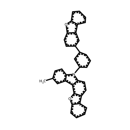 Cc1ccc2c(c1)c1c3oc4ccccc4c3ccc1n2-c1cccc(-c2ccc3oc4ccccc4c3c2)c1